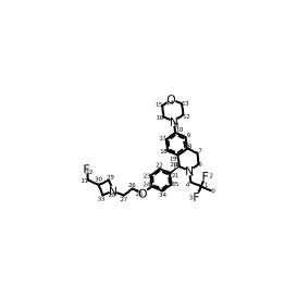 CC(F)(F)CN1CCc2cc(N3CCOCC3)ccc2[C@@H]1c1ccc(OCCN2CC(CF)C2)cc1